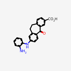 Nc1ccccc1Nc1ccc2c(c1)CCc1ccc(C(=O)O)cc1C2=O